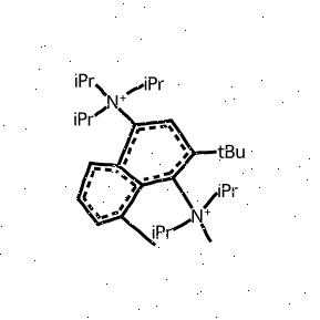 Cc1cccc2c([N+](C(C)C)(C(C)C)C(C)C)cc(C(C)(C)C)c([N+](C)(C(C)C)C(C)C)c12